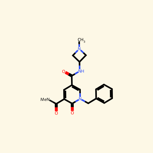 CNC(=O)c1cc(C(=O)NC2CN(C)C2)cn(Cc2ccccc2)c1=O